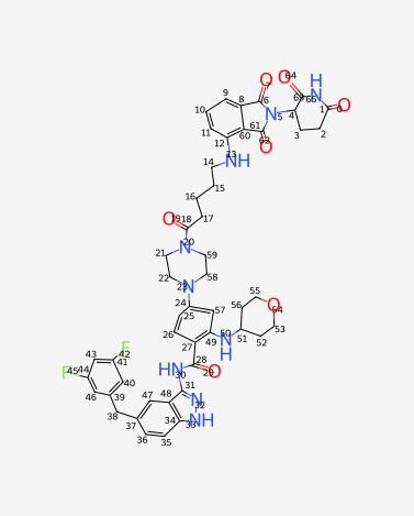 O=C1CCC(N2C(=O)c3cccc(NCCCCC(=O)N4CCN(c5ccc(C(=O)Nc6n[nH]c7ccc(Cc8cc(F)cc(F)c8)cc67)c(NC6CCOCC6)c5)CC4)c3C2=O)C(=O)N1